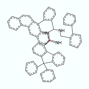 N=C(NC(NCc1ccccc1-c1ccccc1)c1ccccc1-c1c2ccccc2cc2c1ccc1ccccc12)c1cccc2c1-c1ccccc1C2(c1ccccc1)c1ccccc1